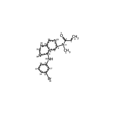 C=CC(=O)N(C)c1cc2c(Nc3cccc(Br)c3)ncnc2cn1